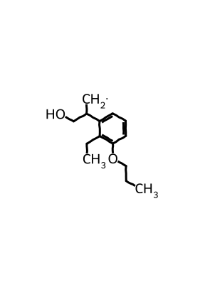 [CH2]C(CO)c1cccc(OCCC)c1CC